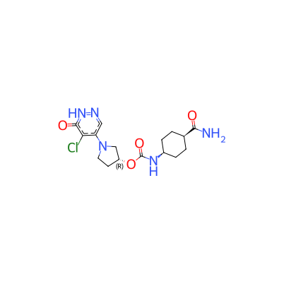 NC(=O)[C@H]1CC[C@@H](NC(=O)O[C@@H]2CCN(c3cn[nH]c(=O)c3Cl)C2)CC1